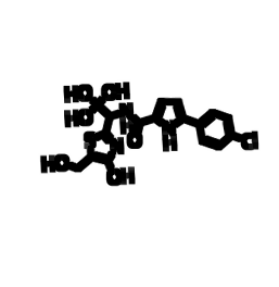 O=C(NC(c1nc(O)c(CO)s1)C(O)(O)O)c1ccc(-c2ccc(Cl)cc2)[nH]1